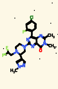 Cc1nc2c(-c3ccc(Cl)cc3F)nc(N3CCN(CC(F)F)C(c4cnn(C)c4)C3)nc2c(=O)n1C